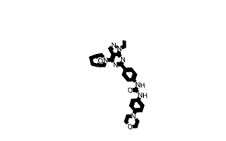 CCn1ncc2c(N3CC4CCC(C3)O4)nc(-c3ccc(NC(=O)Nc4ccc(N5CCOCC5)cc4)cc3)nc21